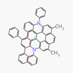 Cc1cc(N(c2ccccc2)c2ccccc2)c2c3ccccc3c3c(N(c4ccccc4)c4c(F)cc(-c5ccccc5)cc4-c4ccccc4)cc(C)c4ccc1c2c43